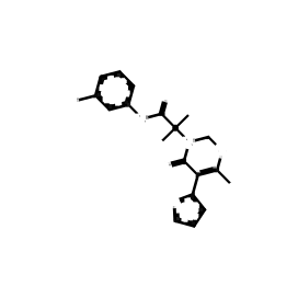 CC1=C(c2cccs2)C(=O)N(C(C)(C)C(=O)Nc2cccc(Cl)c2)CO1